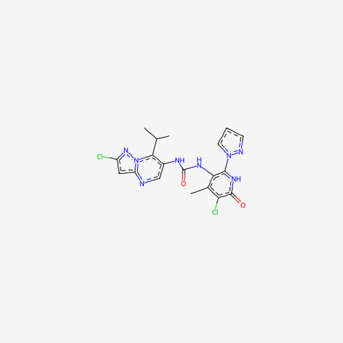 Cc1c(NC(=O)Nc2cnc3cc(Cl)nn3c2C(C)C)c(-n2cccn2)[nH]c(=O)c1Cl